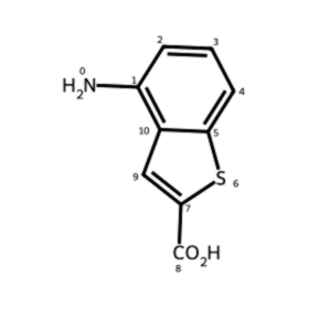 Nc1cccc2sc(C(=O)O)cc12